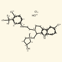 C[N+]1(CC2c3[nH]c4ccc(Cl)cc4c3CCN2CCNc2ccc(Cl)c(C(F)(F)F)n2)CCC(O)C1.Cl.[Cl-]